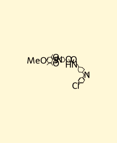 COc1cc(C)c(S(=O)(=O)N2CCC(OCC(=O)NCC3CCC(C(c4ccc(Cl)cc4)N(C)C)CC3)CC2)c(C)c1C